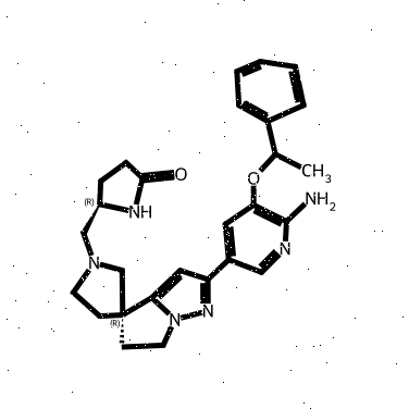 CC(Oc1cc(-c2cc3n(n2)CC[C@@]32CCN(C[C@H]3CCC(=O)N3)C2)cnc1N)c1ccccc1